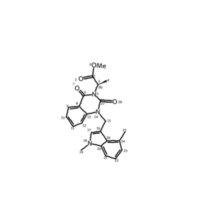 COC(=O)[C@@H](C)n1c(=O)c2ccccc2n(Cc2cn(C)c3cccc(C)c23)c1=O